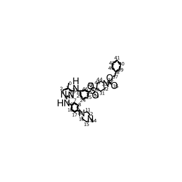 Cc1cnc(Nc2ccc(N3CCN(C)CC3)cc2)nc1Nc1cccc(S(=O)(=O)C2CCN(C(=O)OCc3ccccc3)CC2)c1